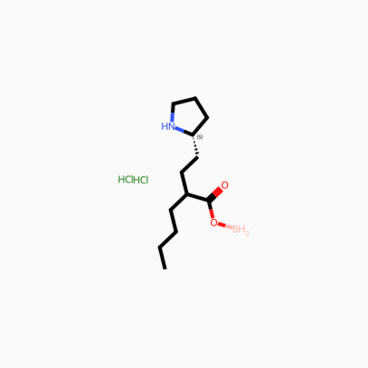 BOC(=O)C(CCCC)CC[C@H]1CCCN1.Cl.Cl